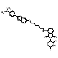 CN(C)c1ccc(-c2nc3ccc(OCCCCCCNc4cccc5c4C(=O)N(C4CCC(=O)NC4=O)C5=O)cc3s2)cc1